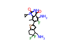 Cc1c(-c2cc3c(s2)CCC(F)(F)C3CN)c(F)c(N)c2c(=O)[nH]c(=O)n(C3CC3)c12